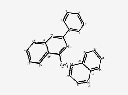 Cc1nc(-c2ccccc2)cc2ccccc12.c1ccc2ncccc2c1